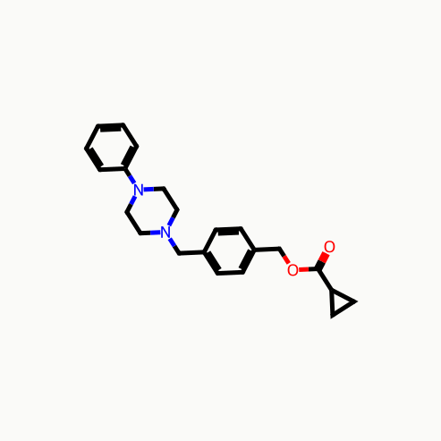 O=C(OCc1ccc(CN2CCN(c3ccccc3)CC2)cc1)C1CC1